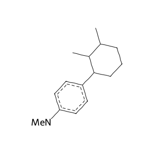 CNc1ccc(C2CCCC(C)C2C)cc1